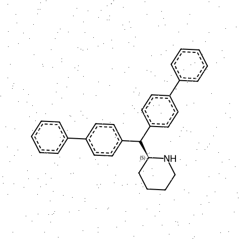 c1ccc(-c2ccc(C(c3ccc(-c4ccccc4)cc3)[C@@H]3CCCCN3)cc2)cc1